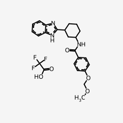 COCOc1ccc(C(=O)NC2CCCC(c3nc4ccccc4[nH]3)C2)cc1.O=C(O)C(F)(F)F